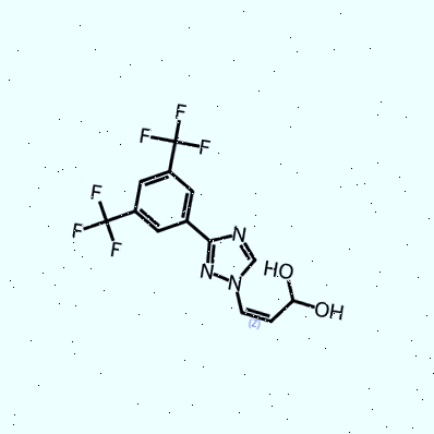 OC(O)/C=C\n1cnc(-c2cc(C(F)(F)F)cc(C(F)(F)F)c2)n1